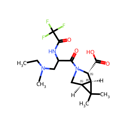 CCN(C)CC(NC(=O)C(F)(F)F)C(=O)N1C[C@H]2[C@@H]([C@H]1C(=O)O)C2(C)C